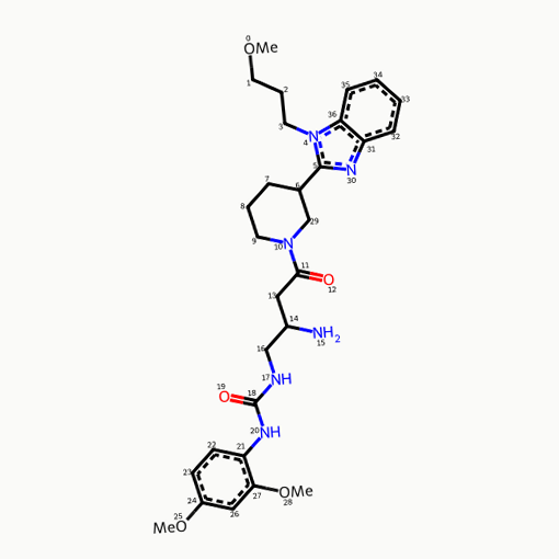 COCCCn1c(C2CCCN(C(=O)CC(N)CNC(=O)Nc3ccc(OC)cc3OC)C2)nc2ccccc21